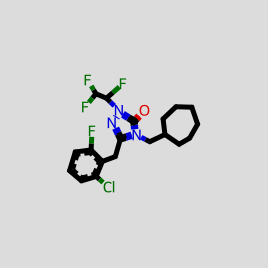 O=c1n(C(F)C(F)F)nc(Cc2c(F)cccc2Cl)n1CC1CCCCCC1